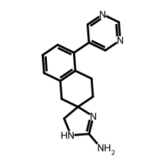 NC1=NC2(CCc3c(cccc3-c3cncnc3)C2)CN1